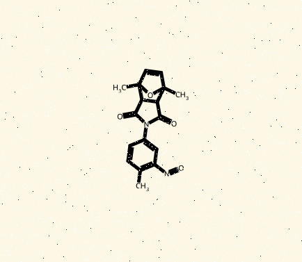 Cc1ccc(N2C(=O)C3C(C2=O)C2(C)C=CC3(C)O2)cc1N=O